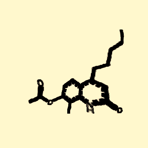 CCCCCc1cc(=O)[nH]c2c(C)c(OC(C)=O)ccc12